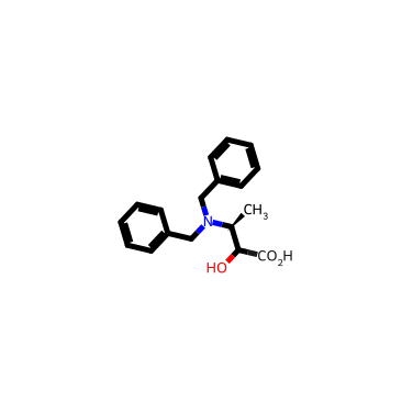 C[C@@H](C(O)C(=O)O)N(Cc1ccccc1)Cc1ccccc1